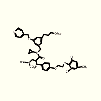 COCCCc1cc(CN(C(=O)C(Cc2ccc(OCCOc3c(Cl)cc(C)cc3Cl)cc2)CN(C(=O)O)C(C)(C)C)C2CC2)cc(OCc2ccncc2)c1